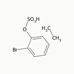 CC.O=S(=O)(O)Oc1ccccc1Br